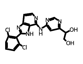 OCC(O)c1cc(Nc2nccc3nc(-c4c(Cl)cccc4Cl)[nH]c23)ncn1